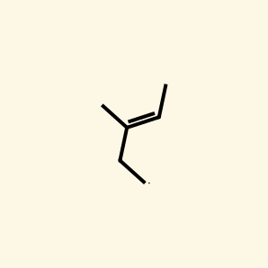 [CH2]CC(C)=CC